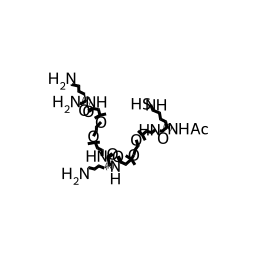 CC(=O)N[C@H](CCCCNS)C(=O)NCCC(C)(C)OCCOC(C)(C)CC(=O)N[C@H](CCCCN)C(=O)NCCC(C)(C)OCCOC(C)(C)CC(=O)N[C@H](CCCCN)C(N)=O